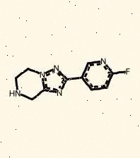 Fc1ccc(-c2nc3n(n2)CCNC3)cn1